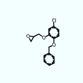 Clc1ccc(OCc2ccccc2)c(OCC2CO2)c1